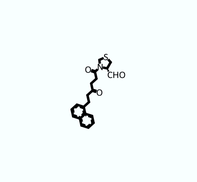 O=C[C@@H]1CSCN1C(=O)CCC(=O)CCc1cccc2ccccc12